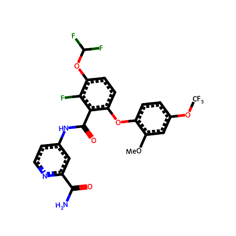 COc1cc(OC(F)(F)F)ccc1Oc1ccc(OC(F)F)c(F)c1C(=O)Nc1ccnc(C(N)=O)c1